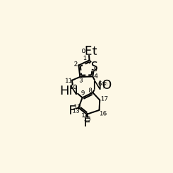 CCc1cc2c(s1)[N+](=O)C1=C(NC2)C(F)=C(F)CC1